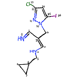 N=C/C(=C\NCC1CC1)Cn1nc(Cl)cc1I